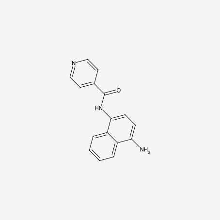 Nc1ccc(NC(=O)c2ccncc2)c2ccccc12